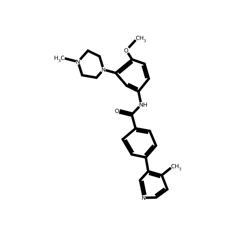 COc1ccc(NC(=O)c2ccc(-c3cnccc3C)cc2)cc1N1CCN(C)CC1